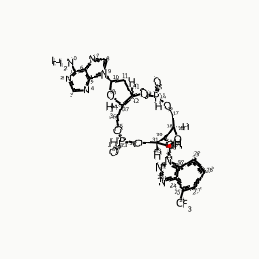 Nc1ncnc2c1ncn2[C@H]1C[C@@H]2O[PH](=O)OC[C@H]3O[C@@H](n4nnc5c(C(F)(F)F)cccc54)[C@H](O[PH](=O)OC[C@H]2O1)[C@@H]3O